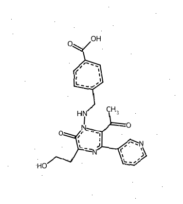 CC(=O)c1c(-c2cccnc2)nc(CCO)c(=O)n1NCc1ccc(C(=O)O)cc1